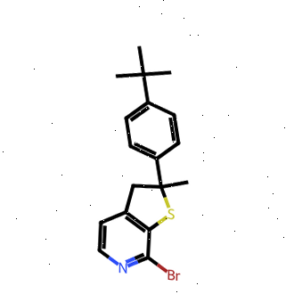 CC(C)(C)c1ccc(C2(C)Cc3ccnc(Br)c3S2)cc1